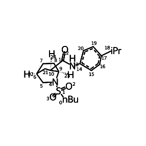 CCCCS(=O)(=O)N1C[C@H]2CC[C@@H]1[C@H](C(=O)Nc1ccc(C(C)C)cc1)C2